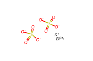 O=S(=O)([O-])[O-].O=S(=O)([O-])[O-].[Bi+3].[K+]